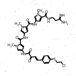 Cn1cc(NC(=O)c2cc(NC(=O)c3cc(NC(=O)C(=O)/C=C/c4ccc(SCCCl)cc4)cn3C)cn2C)cc1C(=O)NCCC(=N)N